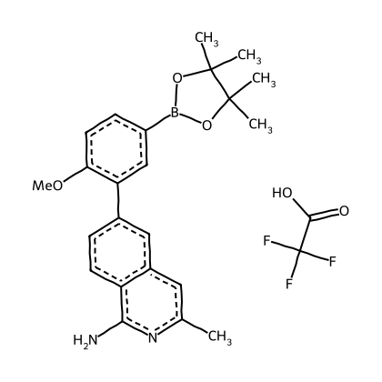 COc1ccc(B2OC(C)(C)C(C)(C)O2)cc1-c1ccc2c(N)nc(C)cc2c1.O=C(O)C(F)(F)F